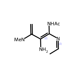 C=C(NC)/C(N)=C(/N=C\C)NC(C)=O